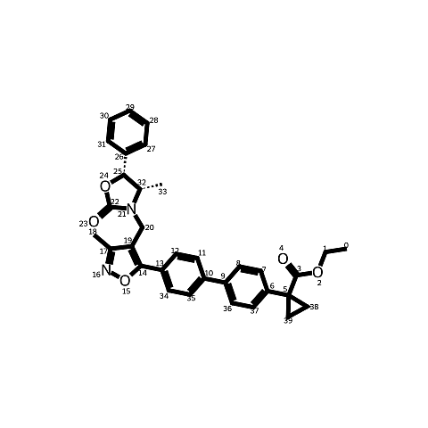 CCOC(=O)C1(c2ccc(-c3ccc(-c4onc(C)c4CN4C(=O)O[C@H](c5ccccc5)[C@@H]4C)cc3)cc2)CC1